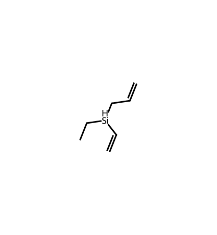 C=CC[SiH](C=C)CC